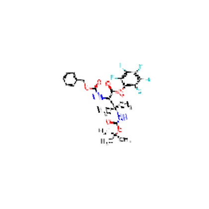 CC(C)(C)OC(=O)NC(C)(C)C(NC(=O)OCc1ccccc1)C(=O)Oc1c(F)c(F)c(F)c(F)c1F